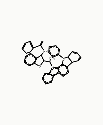 C=C(NC1c2ccccc2OC1C(N)n1c2ccccc2c2ccc3c(c21)N(c1ccccc1)C1C=CC=CC31)C1=CC=CCC1